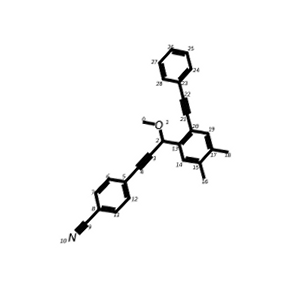 COC(C#Cc1ccc(C#N)cc1)c1cc(C)c(C)cc1C#Cc1ccccc1